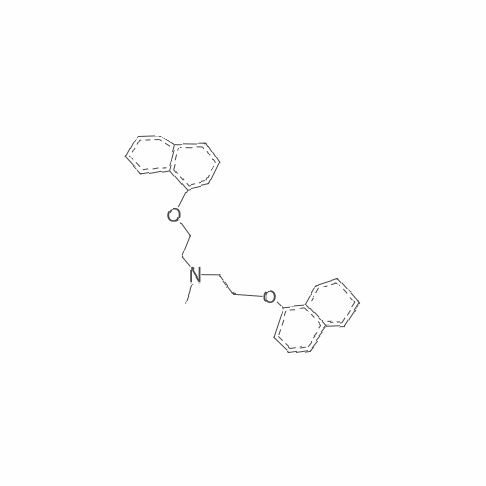 CN(CCOc1cccc2ccccc12)CCOc1cccc2ccccc12